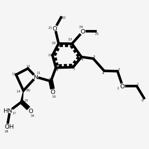 CCOCCCc1cc(C(=O)N2CC[C@@H]2C(=O)NO)cc(OC)c1OC